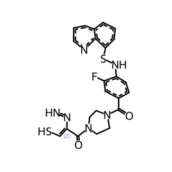 N=N/C(=C\S)C(=O)N1CCN(C(=O)c2ccc(NSc3cccc4cccnc34)c(F)c2)CC1